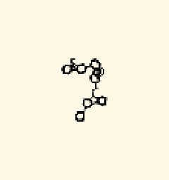 c1ccc(-c2ccc3c(c2)-c2ccccc2C3CCc2ccc3c(c2)oc2cccc(-c4ccc5c(c4)sc4ccccc45)c23)cc1